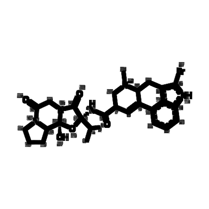 CC(C)[C@@]1(NC(=O)C2C=C3c4cccc5[nH]c(Br)c(c45)CC3N(C)C2)O[C@@]2(O)C3CCCN3C(=O)CN2C1=O